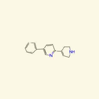 C1=C(c2ccc(-c3ccccc3)cn2)CCNC1